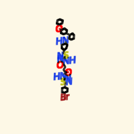 O=C(CCC(=O)Nc1nnc(-c2ccc(Nc3ccccc3-c3ccc(Oc4ccccc4)cc3)cc2)s1)Nc1nnc(-c2ccc(Br)cc2)s1